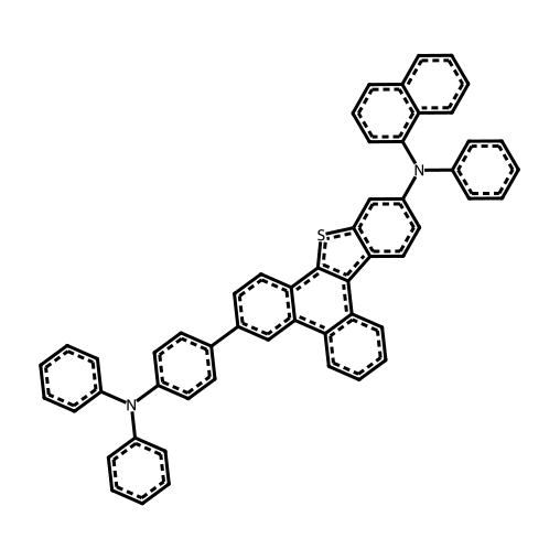 c1ccc(N(c2ccccc2)c2ccc(-c3ccc4c(c3)c3ccccc3c3c5ccc(N(c6ccccc6)c6cccc7ccccc67)cc5sc43)cc2)cc1